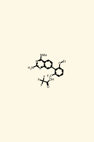 CCOc1cccc(C(F)(F)F)c1-c1ccc2c(NC)nc(N)nc2c1.O=C(O)C(F)(F)F